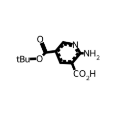 CC(C)(C)OC(=O)c1cnc(N)c(C(=O)O)c1